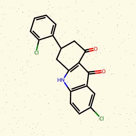 O=C1CC(c2ccccc2Cl)Cc2[nH]c3ccc(Cl)cc3c(=O)c21